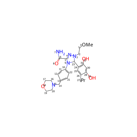 COCCN1N=C(C(N)=O)N(c2ccc(CN3CCOCC3)cc2)C1c1cc(C(C)C)c(O)cc1O